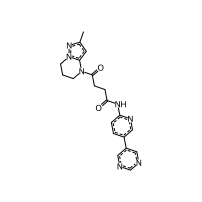 Cc1cc2n(n1)CCCN2C(=O)CCC(=O)Nc1ccc(-c2cncnc2)cn1